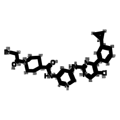 O=C(Nc1cncc(Nc2ncc(Cl)c(-c3cccc(C4CC4)c3)n2)c1)C1CCN(C(=O)CBr)CC1